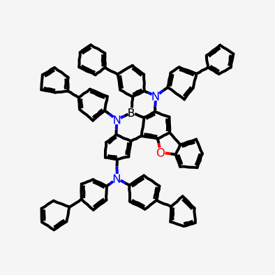 C1=CCC(c2ccc(N(c3ccc(-c4ccccc4)cc3)c3ccc4c(c3)-c3c5c(cc6c3oc3ccccc36)N(c3ccc(-c6ccccc6)cc3)c3ccc(-c6ccccc6)cc3B5N4c3ccc(-c4ccccc4)cc3)cc2)C=C1